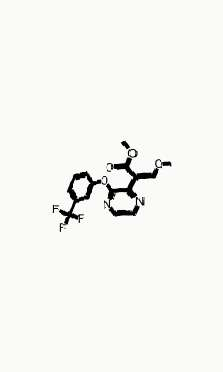 COC=C(C(=O)OC)c1nccnc1Oc1cccc(C(F)(F)F)c1